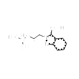 C[SiH](C)OCCn1nc2ccccc2c1C(=O)O